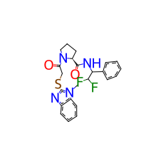 Cn1c(SCC(=O)N2CCC[C@H]2C(=O)NC(c2ccccc2)C(F)F)nc2ccccc21